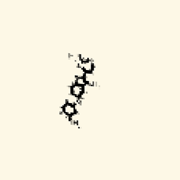 Cc1c(-c2ccnc(N)n2)sc2ccc(Nc3cccc(N)c3)cc12